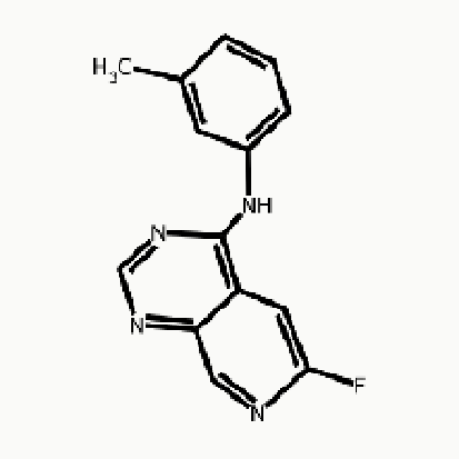 Cc1cccc(Nc2ncnc3cnc(F)cc23)c1